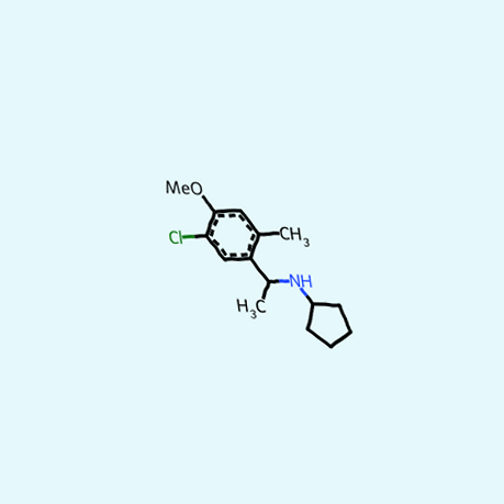 COc1cc(C)c(C(C)NC2CCCC2)cc1Cl